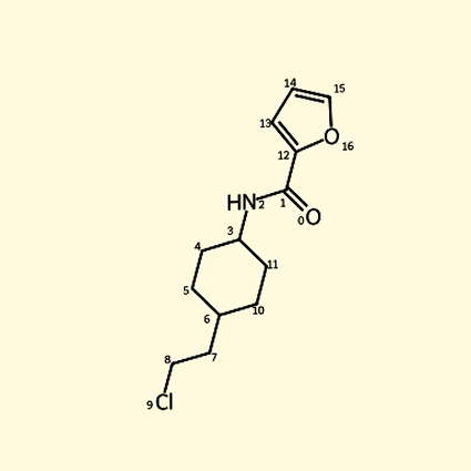 O=C(NC1CCC(CCCl)CC1)c1ccco1